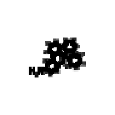 NC1C=CN2CC(c3ccccc3)(c3ccccc3)c3ccccc3C2=C1